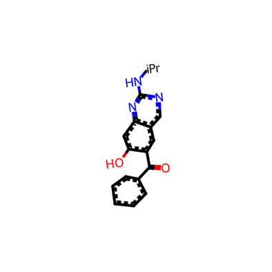 CC(C)Nc1ncc2cc(C(=O)c3ccccc3)c(O)cc2n1